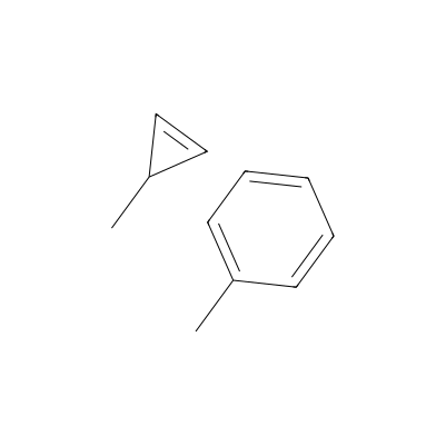 CC1C=C1.Cc1ccccc1